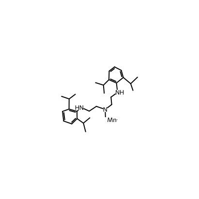 CC(C)c1cccc(C(C)C)c1NCCN(C)CCNc1c(C(C)C)cccc1C(C)C.[Mn]